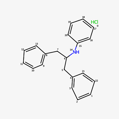 Cl.c1ccc(CC(Cc2ccccc2)Nc2ccccc2)cc1